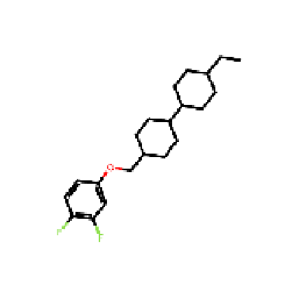 CCC1CCC(C2CCC(COc3ccc(F)c(F)c3)CC2)CC1